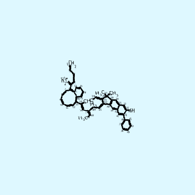 C=C/C=C\C(=C)c1ccccccc(/C(C)=C/C(=C\C)C/C=C2\C(=C/C)C(C)(C)c3cc4cc(S)c(-c5ccccc5)cc4cc32)c2ccccc12